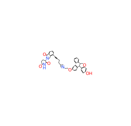 O=C1CCC(N2Cc3c(C#CCCC4CN(CCOc5ccc([C@@H]6c7ccc(O)cc7OC[C@@H]6c6ccccc6)cc5)C4)cccc3C2=O)C(=O)N1